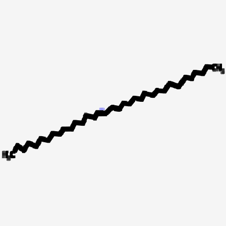 CCCCCCCCCCCCCCC/C=[C]/C=CCCCCCCCCCCCCCCCC